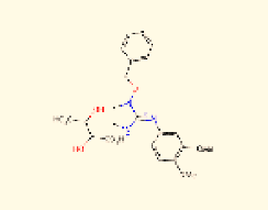 COc1ccc(/N=C2\NCCN2OCc2ccccc2)cc1OC.O=C(O)C(O)C(O)C(=O)O